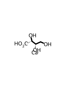 O=C(O)[C@H](O)[C@@H](O)CO.[Ca]